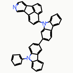 c1ccc(-n2c3ccccc3c3cc(-c4ccc5c6ccccc6n(-c6ccc7c8c(cccc68)-c6ccncc6-7)c5c4)ccc32)cc1